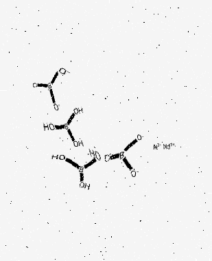 OB(O)O.OB(O)O.[Al+3].[Nd+3].[O-]B([O-])[O-].[O-]B([O-])[O-]